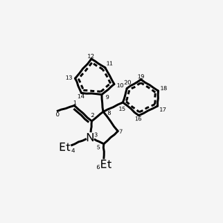 CC=C1N(CC)C(CC)CC1(c1ccccc1)c1ccccc1